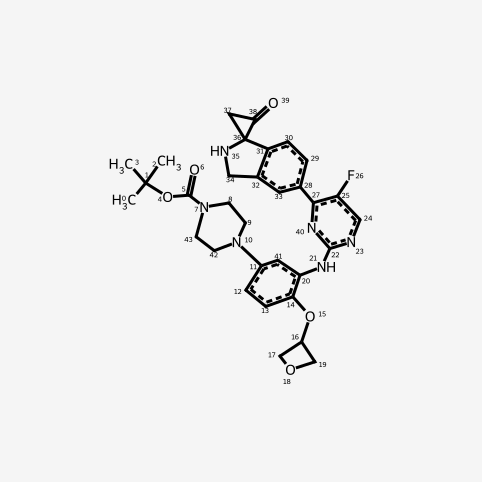 CC(C)(C)OC(=O)N1CCN(c2ccc(OC3COC3)c(Nc3ncc(F)c(-c4ccc5c(c4)CNC54CC4=O)n3)c2)CC1